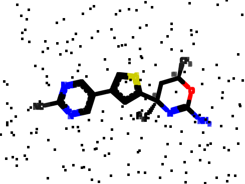 C[C@]1(c2cc(-c3cnc(C#N)nc3)cs2)C[C@@H](C(F)(F)F)OC(N)=N1